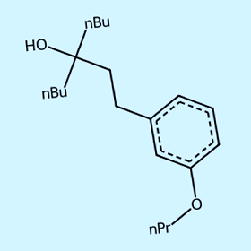 CCCCC(O)(CCCC)CCc1cccc(OCCC)c1